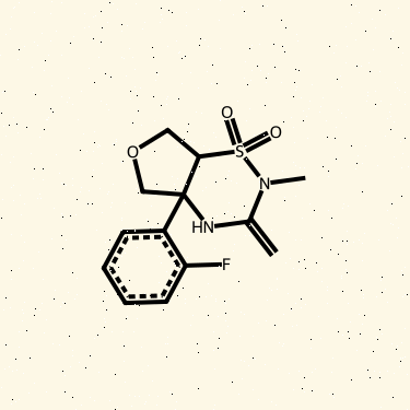 C=C1NC2(c3ccccc3F)COCC2S(=O)(=O)N1C